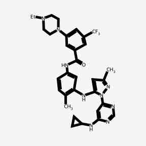 CCN1CCN(c2cc(C(=O)Nc3ccc(C)c(Nc4cc(C)nn4-c4cc(NC5CC5)ncn4)c3)cc(C(F)(F)F)c2)CC1